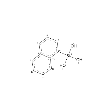 O[Si](O)(O)c1cccc2ccccc12